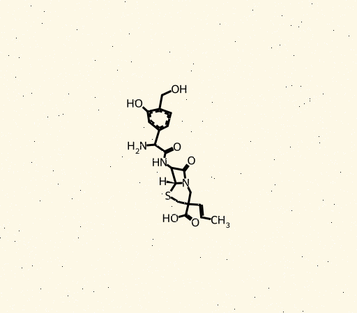 CC=CC1(C(=O)O)CS[C@@H]2C(NC(=O)C(N)c3ccc(CO)c(O)c3)C(=O)N2C1